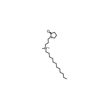 CCCCCCCCCCCC[N+](C)(C)CCCN1CCCC1=O